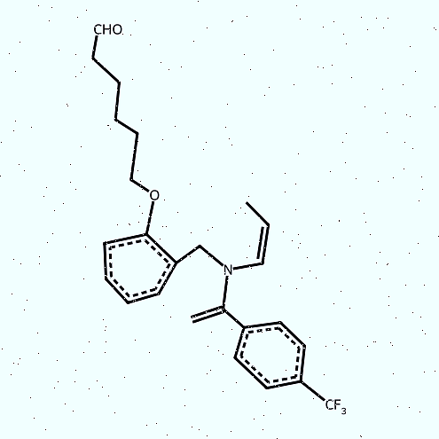 C=C(c1ccc(C(F)(F)F)cc1)N(/C=C\C)Cc1ccccc1OCCCCCC=O